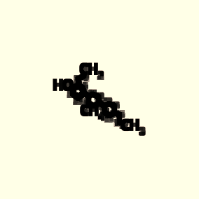 C.C=CCc1cc(C2CCC(C3CCC(CCC)CC3)CC2)ccc1O